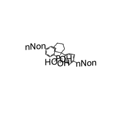 CCCCCCCCCc1ccc(C2(P(O)(O)(O)c3ccc(CCCCCCCCC)cc3)CCCCC2)cc1